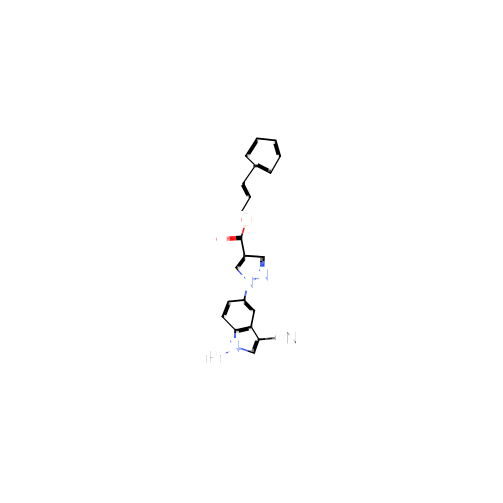 CC(C)n1cc(C#N)c2cc(-n3cc(C(=O)OC/C=C/c4ccccc4)cn3)ccc21